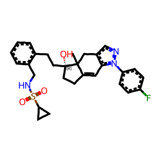 CC12Cc3cnn(-c4ccc(F)cc4)c3C=C1CC[C@@]2(O)CCc1ccccc1CNS(=O)(=O)C1CC1